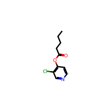 CCCCC(=O)Oc1c[c]ncc1Cl